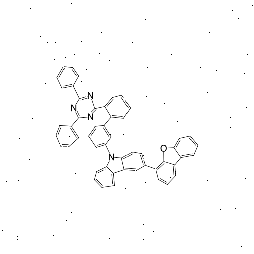 c1ccc(-c2nc(-c3ccccc3)nc(-c3ccccc3-c3cccc(-n4c5ccccc5c5cc(-c6cccc7c6oc6ccccc67)ccc54)c3)n2)cc1